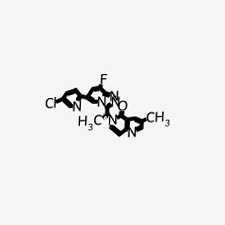 Cc1cnc2ccn([C@@H](C)c3nnc4c(F)cc(-c5ccc(Cl)cn5)cn34)c(=O)c2c1